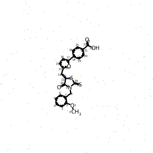 COc1ccccc1CN1C(=O)/C(=C/c2ccc(-c3ccc(C(=O)O)cc3)o2)SC1=S